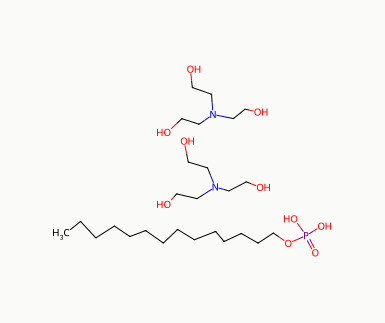 CCCCCCCCCCCCCCOP(=O)(O)O.OCCN(CCO)CCO.OCCN(CCO)CCO